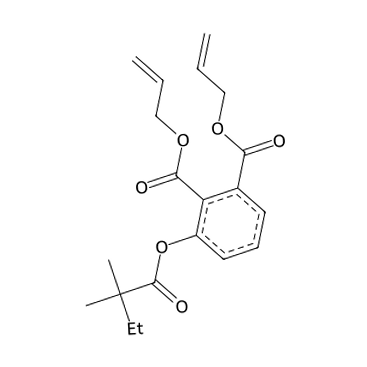 C=CCOC(=O)c1cccc(OC(=O)C(C)(C)CC)c1C(=O)OCC=C